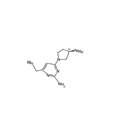 CN[C@@H]1CCN(c2cc(CC(C)(C)C)nc(N)n2)C1